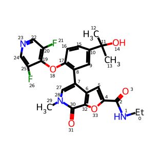 CCNC(=O)c1cc2c(-c3cc(C(C)(C)O)ccc3Oc3c(F)cncc3F)cn(C)c(=O)c2o1